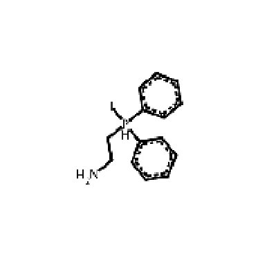 NCC[PH](I)(c1ccccc1)c1ccccc1